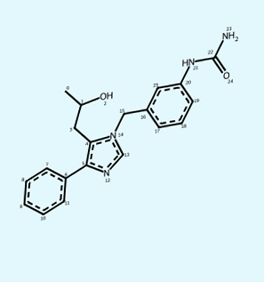 CC(O)Cc1c(-c2ccccc2)ncn1Cc1cccc(NC(N)=O)c1